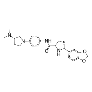 CN(C)C1CCN(c2ccc(NC(=O)C3CSC(c4ccc5c(c4)OCO5)N3)cc2)C1